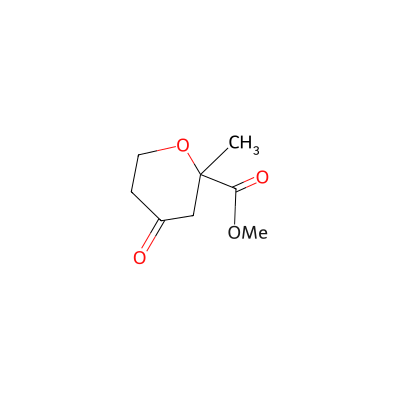 COC(=O)C1(C)CC(=O)CCO1